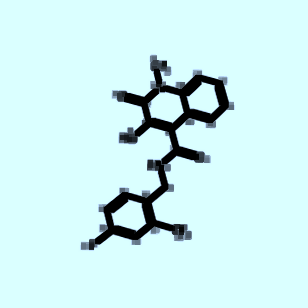 Cn1c(=O)c(O)c(C(=O)NCc2ccc(F)cc2C(F)(F)F)c2ccccc21